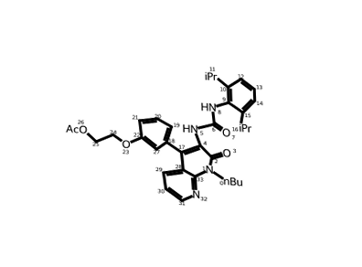 CCCCn1c(=O)c(NC(=O)Nc2c(C(C)C)cccc2C(C)C)c(-c2cccc(OCCOC(C)=O)c2)c2cccnc21